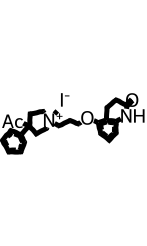 CC(=O)C1(c2ccccc2)CC[N+](C)(CCCOc2cccc3c2CCC(=O)N3)CC1.[I-]